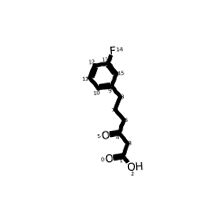 O=C(O)CC(=O)CCCc1cccc(F)c1